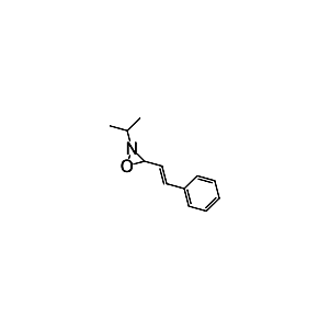 CC(C)N1OC1C=Cc1ccccc1